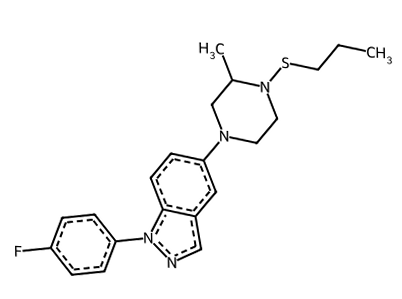 CCCSN1CCN(c2ccc3c(cnn3-c3ccc(F)cc3)c2)CC1C